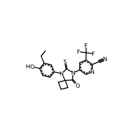 CCc1cc(N2C(=S)N(c3cnc(C#N)c(C(F)(F)F)c3)C(=O)C23CCC3)ccc1O